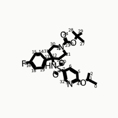 CC(C)Oc1ccc(S(=O)(=O)NC2(c3ccc(F)cc3)CCN(C(=O)OC(C)(C)C)CC2)cn1